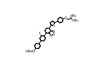 CCCCOc1ccc(-c2ccc(-c3ccc(-c4ccc(-c5ccc(OCC(CCCC)CCCC)cc5)s4)c4nsnc34)c(F)c2)cc1